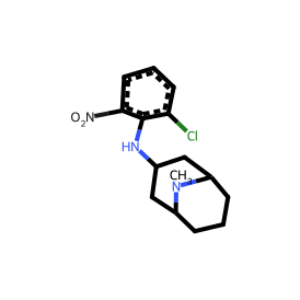 CN1C2CCCC1CC(Nc1c(Cl)cccc1[N+](=O)[O-])C2